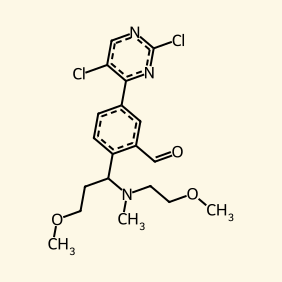 COCCC(c1ccc(-c2nc(Cl)ncc2Cl)cc1C=O)N(C)CCOC